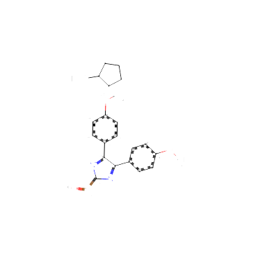 CC1CCCC1.COc1ccc(C2=NC(=S=O)N=C2c2ccc(OC)cc2)cc1